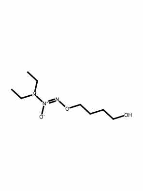 CCN(CC)/[N+]([O-])=N/OCCCCO